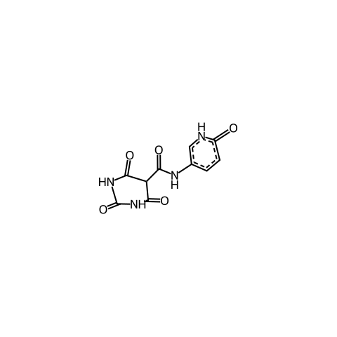 O=C1NC(=O)C(C(=O)Nc2ccc(=O)[nH]c2)C(=O)N1